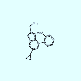 COc1ncccc1-c1cc(C2CC2)cn2cc(CN)nc12